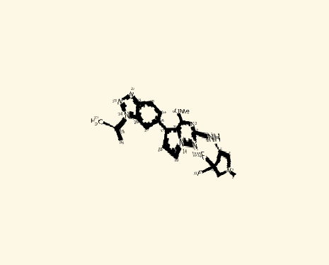 COc1nc(N[C@@H]2CN(C)CC2(F)F)nn2ccc(-c3ccc4nnn([C@@H](C)C(F)(F)F)c4c3)c12